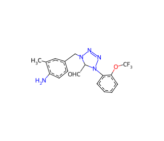 Cc1cc(CN2N=NN(c3ccccc3OC(F)(F)F)C2C=O)ccc1N